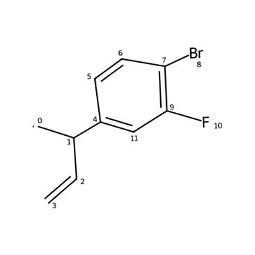 [CH2]C(C=C)c1ccc(Br)c(F)c1